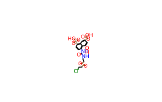 O=C(NCCS(=O)(=O)CCCl)Nc1ccc(S(=O)(=O)O)c2cc(S(=O)(=O)O)cc(O)c12